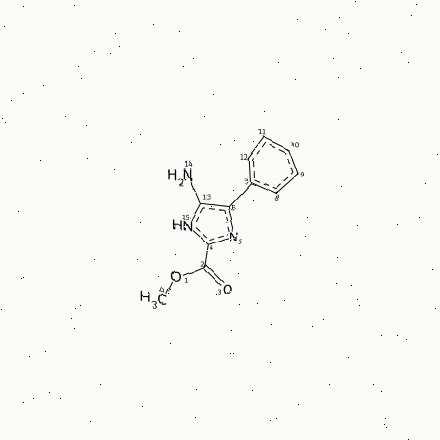 COC(=O)c1nc(-c2ccccc2)c(N)[nH]1